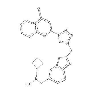 CN(Cc1ccc2nc(Cn3cc(-c4cc(=O)n5ccccc5n4)nn3)cn2c1)C1CCC1